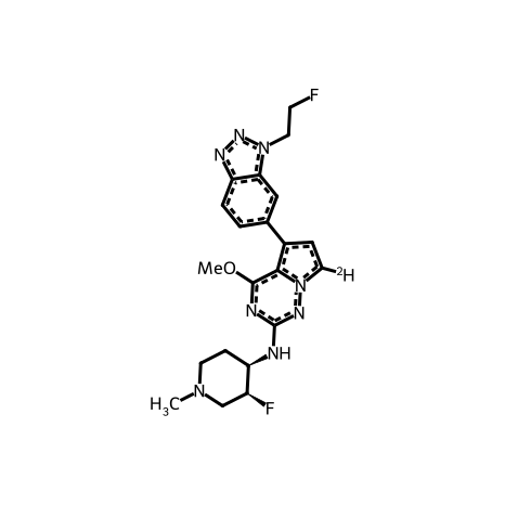 [2H]c1cc(-c2ccc3nnn(CCF)c3c2)c2c(OC)nc(N[C@@H]3CCN(C)C[C@@H]3F)nn12